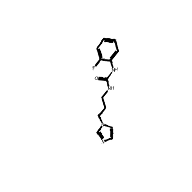 O=C(NCCCn1ccnc1)Nc1ccccc1F